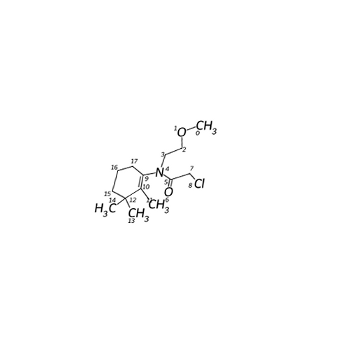 COCCN(C(=O)CCl)C1=C(C)C(C)(C)CCC1